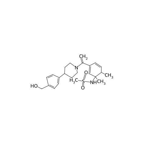 C=C(C1=CC(C)(NS(C)(=O)=O)C(C)C=C1)N1CCC(c2ccc(CO)cc2)CC1